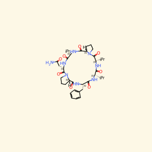 CC(C)[C@@H]1NC(=O)[C@H](Cc2ccccc2)NC(=O)[C@@H]2CCCN2C(=O)[C@H](CC(N)=O)NC(=O)[C@H](C(C)C)NC(=O)[C@@H]2CCCN2C(=O)[C@H](C(C)C)NC1=O